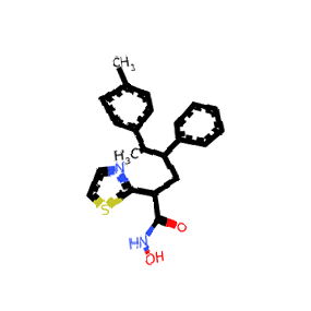 Cc1ccc(C(C)C(CC(C(=O)NO)c2nccs2)c2ccccc2)cc1